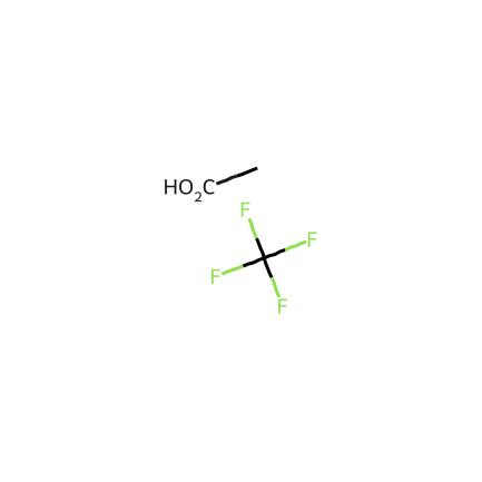 CC(=O)O.FC(F)(F)F